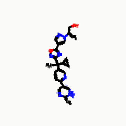 C=C(N)/N=C\C(=C/N)c1ccc(C(C)(c2noc(-c3cnn(C(=C)CO)c3)n2)C2CC2)cn1